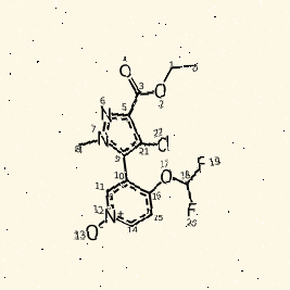 CCOC(=O)c1nn(C)c(-c2c[n+]([O-])ccc2OC(F)F)c1Cl